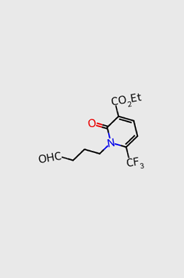 CCOC(=O)c1ccc(C(F)(F)F)n(CCCC=O)c1=O